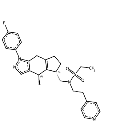 C[C@@H]1C2=C(CC[C@@H]2CN(CCc2ccncc2)S(=O)(=O)CC(F)(F)F)Cc2c1cnn2-c1ccc(F)cc1